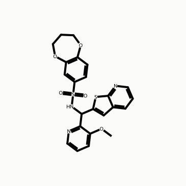 COc1cccnc1C(NS(=O)(=O)c1ccc2c(c1)OCCCO2)c1cc2cccnc2s1